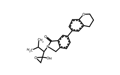 CC(C)C(N1Cc2ccc(-c3ccc4c(c3)CCCO4)cc2C1=O)C1(O)CO1